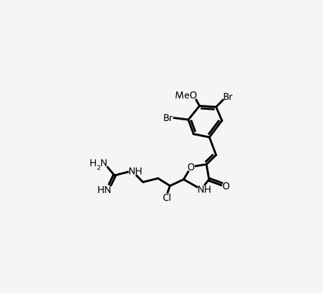 COc1c(Br)cc(/C=C2\OC(C(Cl)CCNC(=N)N)NC2=O)cc1Br